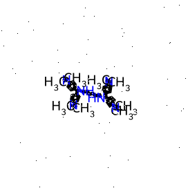 CN(C)c1ccc(C(NCCCCCCNC(c2ccc(N(C)C)cc2)c2ccc(N(C)C)cc2)c2ccc(N(C)C)cc2)cc1